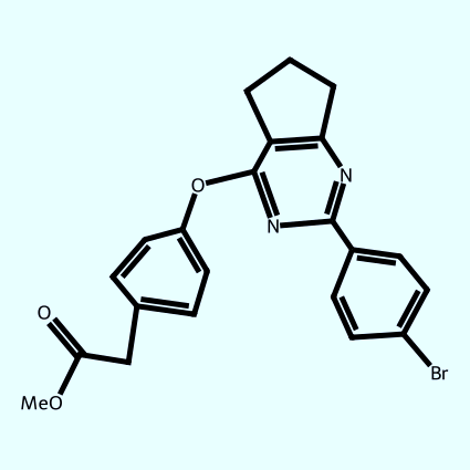 COC(=O)Cc1ccc(Oc2nc(-c3ccc(Br)cc3)nc3c2CCC3)cc1